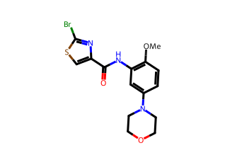 COc1ccc(N2CCOCC2)cc1NC(=O)c1csc(Br)n1